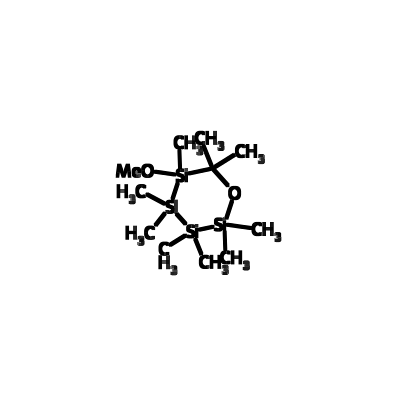 CO[Si]1(C)C(C)(C)O[Si](C)(C)[Si](C)(C)[Si]1(C)C